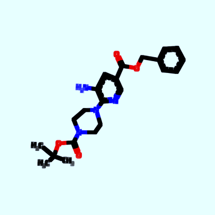 CC(C)(C)OC(=O)N1CCN(c2ncc(C(=O)OCc3ccccc3)cc2N)CC1